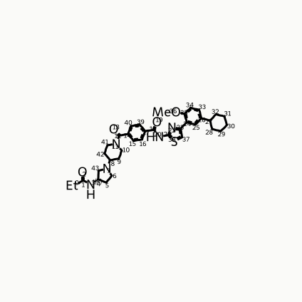 CCC(=O)N[C@@H]1CCN(C2CCN(C(=O)c3ccc(C(=O)Nc4nc(-c5cc(C6CCCCC6)ccc5OC)cs4)cc3)CC2)C1